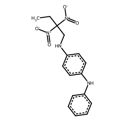 CCC(CNc1ccc(Nc2ccccc2)cc1)([N+](=O)[O-])[N+](=O)[O-]